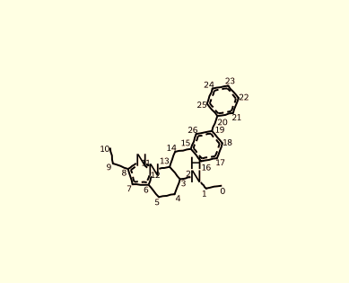 CCNC1CCc2cc(CC)nn2C1Cc1cccc(-c2ccccc2)c1